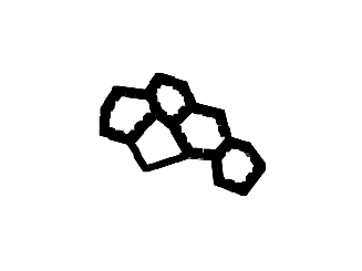 c1ccc2c3c4c(ccc5cccc(c54)C3)cc2c1